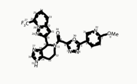 COc1ccc(-c2nnc(C(=O)N3CCc4[nH]cnc4C3c3cc4cccc(C(F)(F)F)n4n3)o2)cn1